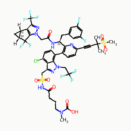 CN(CCCC(=O)NS(=O)(=O)Cc1nn(CC(F)(F)F)c2c(-c3ccc(C#CC(C)(C)S(C)(=O)=O)nc3[C@H](Cc3cc(F)cc(F)c3)NC(=O)Cn3nc(C(F)(F)F)c4c3C(F)(F)[C@@H]3C[C@H]43)ccc(Cl)c12)C(=O)O